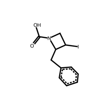 O=C(O)N1CC(I)C1Cc1ccccc1